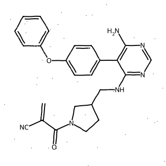 C=C(C#N)C(=O)N1CCC(CNc2ncnc(N)c2-c2ccc(Oc3ccccc3)cc2)C1